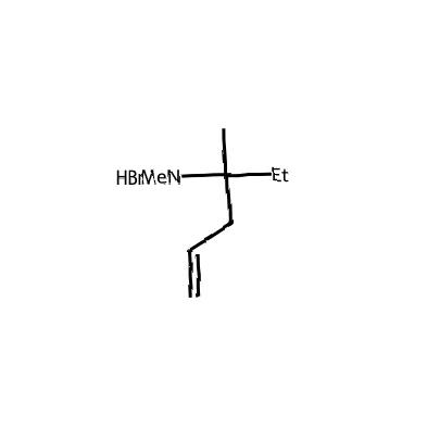 Br.C=CCC(C)(CC)NC